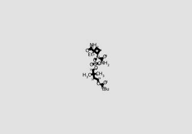 CC[C@@]1(C(N)=O)CC[C@H]1N(OS(=O)(=O)OCC(C)(C)CCOC(=O)C(C)(C)C)C(N)=O